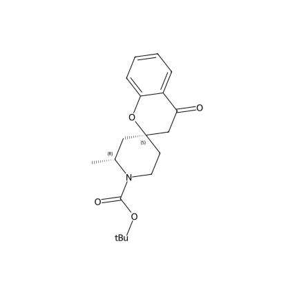 C[C@@H]1C[C@@]2(CCN1C(=O)OC(C)(C)C)CC(=O)c1ccccc1O2